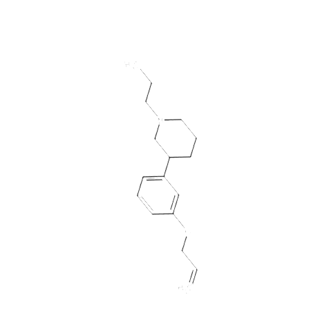 C=CCOc1cccc(C2CCCN(CCC)C2)c1